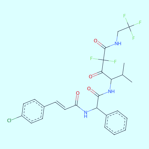 CC(C)C(NC(=O)C(NC(=O)/C=C/c1ccc(Cl)cc1)c1ccccc1)C(=O)C(F)(F)C(=O)NCC(F)(F)F